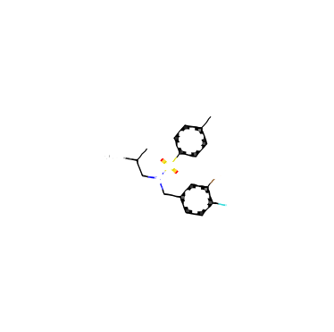 COC(C)CN(Cc1ccc(F)c(Br)c1)S(=O)(=O)c1ccc(C)cc1